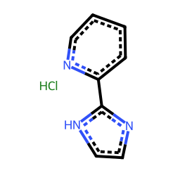 Cl.c1ccc(-c2ncc[nH]2)nc1